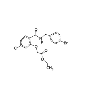 CCOC(=O)COc1cc(Cl)ccc1C(=O)N(F)Cc1ccc(Br)cc1